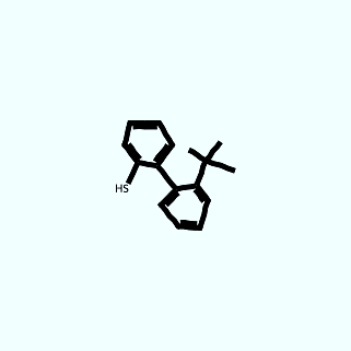 CC(C)(C)c1ccccc1-c1ccccc1S